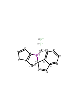 CP1C2=[C](CC=C2)[Ti+2][C]12C=Cc1ccccc12.[F-].[F-]